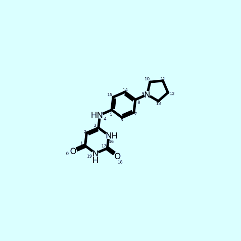 O=c1cc(Nc2ccc(N3CCCC3)cc2)[nH]c(=O)[nH]1